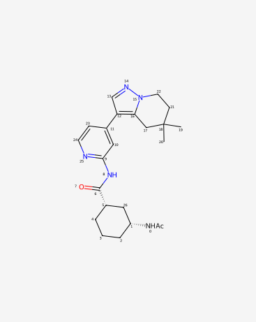 CC(=O)N[C@@H]1CCC[C@H](C(=O)Nc2cc(-c3cnn4c3CC(C)(C)CC4)ccn2)C1